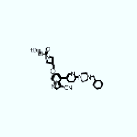 CC(C)(C)OC(=O)N1CC(COc2cc(-c3ccc(N4CCN(Cc5ccccc5)CC4)nc3)c3c(C#N)cnn3c2)C1